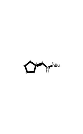 CCCCNC=C1CCCC1